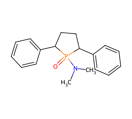 CN(C)P1(=O)C(c2ccccc2)CCC1c1ccccc1